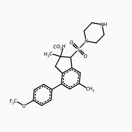 Cc1cc(-c2ccc(OC(F)(F)F)cc2)c2c(c1)C(S(=O)(=O)N1CCNCC1)C(C)(C(=O)O)C2